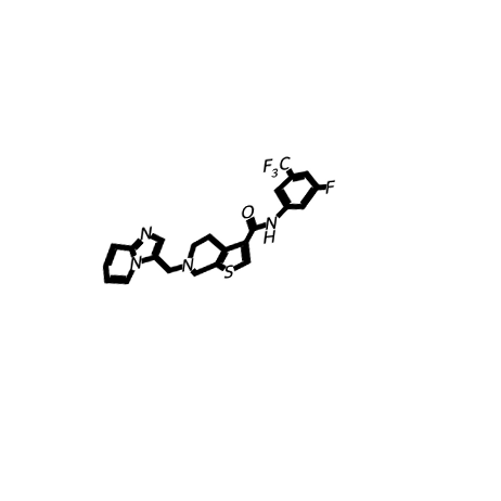 O=C(Nc1cc(F)cc(C(F)(F)F)c1)c1csc2c1CCN(Cc1cnc3ccccn13)C2